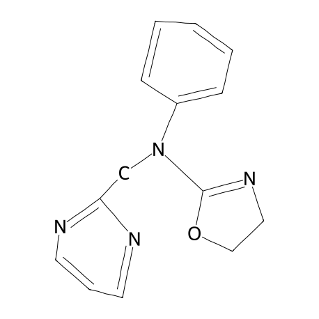 c1ccc(N(Cc2ncccn2)C2=NCCO2)cc1